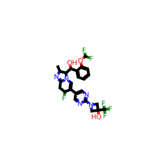 CC1N=C2CC(F)C(c3cnc(N4CC(O)(C(F)(F)F)C4)nc3)=CN2C1C(O)c1ccccc1OC(F)F